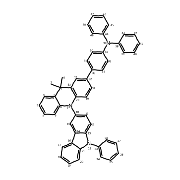 CC1(C)c2ccccc2N(c2ccc3c(c2)c2ccccc2n3-c2ccccc2)c2ccc(-c3ccc(N(c4ccccc4)c4ccccc4)cc3)cc21